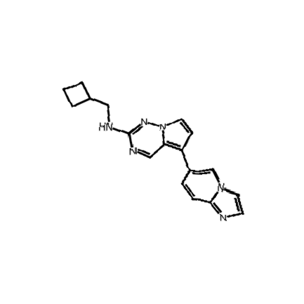 c1cn2cc(-c3ccn4nc(NCC5CCC5)ncc34)ccc2n1